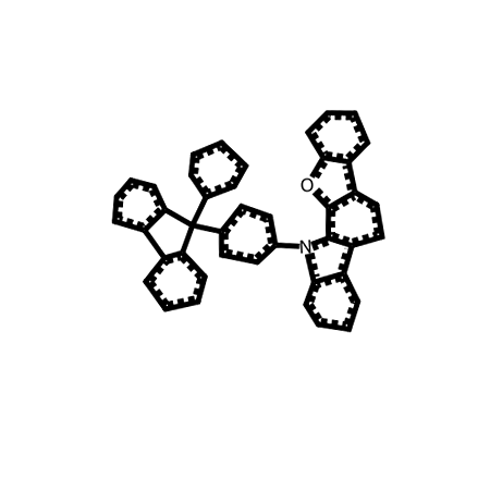 c1ccc(C2(c3ccc(-n4c5ccccc5c5ccc6c7ccccc7oc6c54)cc3)c3ccccc3-c3ccccc32)cc1